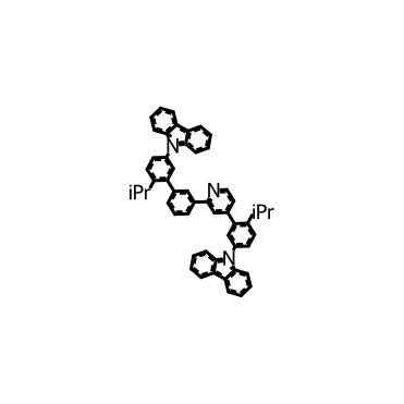 CC(C)c1ccc(-n2c3ccccc3c3ccccc32)cc1-c1cccc(-c2cc(-c3cc(-n4c5ccccc5c5ccccc54)ccc3C(C)C)ccn2)c1